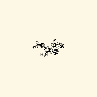 CCOC(=O)c1cnn(-c2nc(N)c3ncn(C4O[C@H](CC)[C@@H](O[Si](C)(C)C(C)(C)C)[C@H]4O[Si](C)(C)C(C)(C)C)c3n2)c1